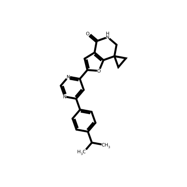 CC(C)c1ccc(-c2cc(-c3cc4c(o3)C3(CC3)CNC4=O)ncn2)cc1